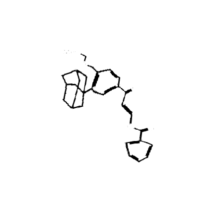 COCOc1ccc(C(=O)C=COC(=O)c2ccccc2)cc1C12CC3CC(CC(C3)C1)C2